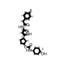 C[C@]1(O)CC[C@H](NC(=O)O[C@H]2CC[C@@H](c3cc(NC(=O)Cc4ccc(F)cc4)n[nH]3)C2)CC1